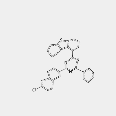 Clc1ccc2cc(-c3nc(-c4ccccc4)nc(-c4cccc5sc6ccccc6c45)n3)ccc2c1